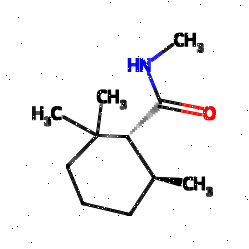 CNC(=O)[C@@H]1[C@@H](C)CCCC1(C)C